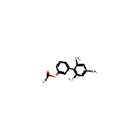 CCC(=O)Oc1cccc(-c2c(C)cc(C)cc2C)c1